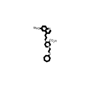 COc1ccc2nccc(CCC[C@@H]3CCN(CCSC4CCCCCC4)C[C@@H]3C(=O)O)c2c1